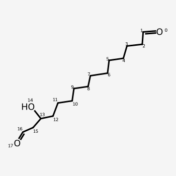 O=CCCCCCCCCCCCC(O)CC=O